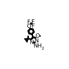 COc1nc(N)nc(C2(C)CC2)c1-c1ccc(OC(F)(F)F)cc1